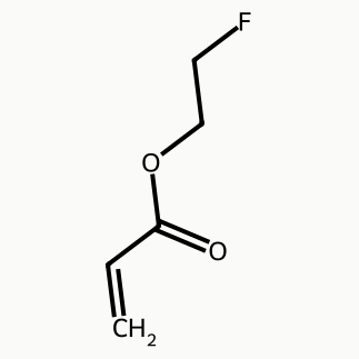 C=CC(=O)OCCF